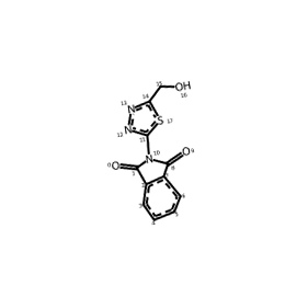 O=C1c2ccccc2C(=O)N1c1nnc(CO)s1